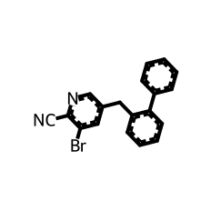 N#Cc1ncc(Cc2ccccc2-c2ccccc2)cc1Br